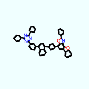 c1ccc(-c2nc(-c3ccccc3)nc(-c3cccc(-c4ccc(-c5ccc(-c6cc7c8ccccc8oc7c7nc(-c8ccccc8)oc67)cc5)c5ccccc45)c3)n2)cc1